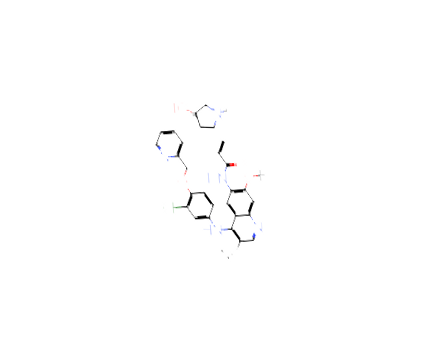 CCOc1cc2ncc(C#N)c(Nc3ccc(OCc4ccccn4)c(Cl)c3)c2cc1NC(=O)C=C[C@@H]1C[C@@H](O)CN1C